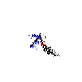 C=C(CCCCC(=O)OC1CCC2(C)C(=CCC3C2CCC2(C)C(CCCCC(C)C)CCC32)C1)N(CCCN)CCCCNCCCN